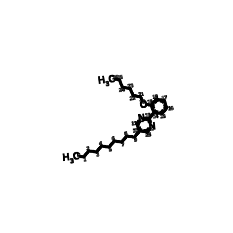 CCCCCCCCCCc1cnc(-c2ccccc2OCCCCCC)nc1